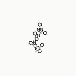 c1ccc(-c2nc(-c3ccccc3)nc(-c3cccc4c3oc3ccc(-n5c6ccccc6c6cc7c(cc65)N(c5ccccc5)c5ccccc5S7)cc34)n2)cc1